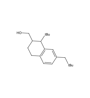 CC(C)(C)Cc1ccc2c(c1)C(C(C)(C)C)C(CO)CC2